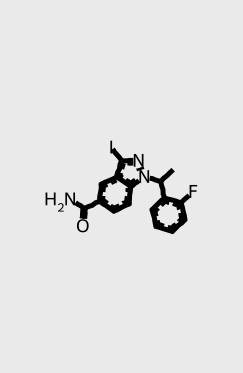 CC(c1ccccc1F)n1nc(I)c2cc(C(N)=O)ccc21